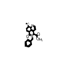 COc1ccc2c3c(ccnc13)C(C(=O)O)N(Cc1ccccc1)C2=O